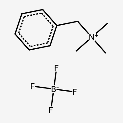 C[N+](C)(C)Cc1ccccc1.F[B-](F)(F)F